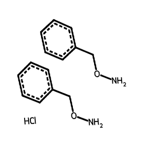 Cl.NOCc1ccccc1.NOCc1ccccc1